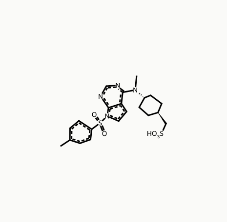 Cc1ccc(S(=O)(=O)n2ccc3c(N(C)[C@H]4CC[C@H](CS(=O)(=O)O)CC4)ncnc32)cc1